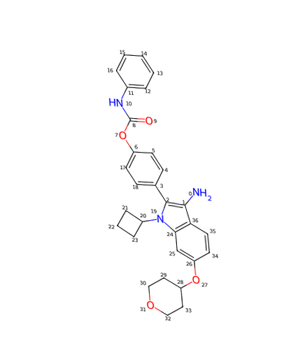 Nc1c(-c2ccc(OC(=O)Nc3ccccc3)cc2)n(C2CCC2)c2cc(OC3CCOCC3)ccc12